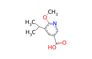 COc1ncc(C(=O)O)cc1C(C)C